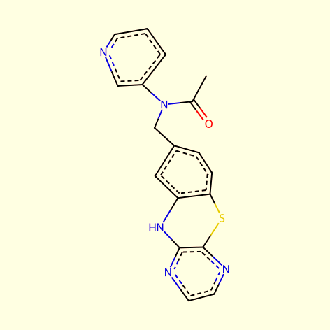 CC(=O)N(Cc1ccc2c(c1)Nc1nccnc1S2)c1cccnc1